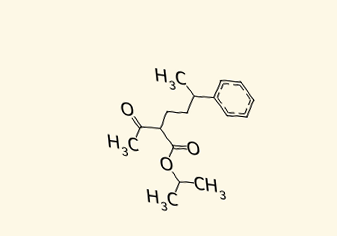 CC(=O)C(CCC(C)c1ccccc1)C(=O)OC(C)C